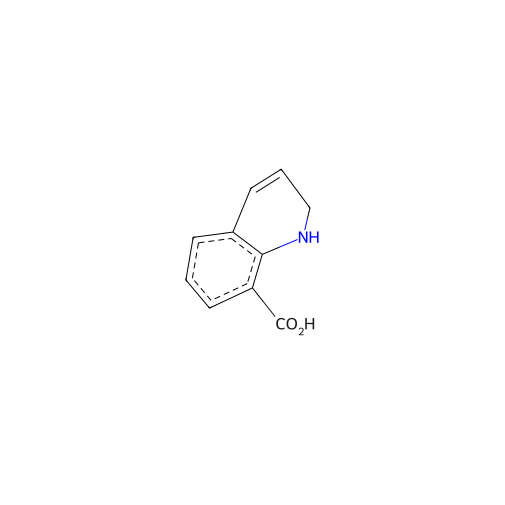 O=C(O)c1cccc2c1NCC=C2